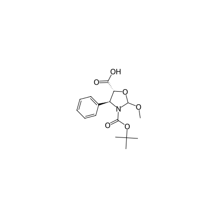 COC1O[C@@H](C(=O)O)[C@H](c2ccccc2)N1C(=O)OC(C)(C)C